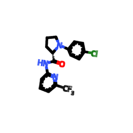 O=C(Nc1cccc(C(F)(F)F)n1)[C@@H]1CCCN1c1ccc(Cl)cc1